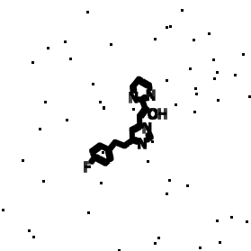 O/C(=C\c1cc(CCc2ccc(F)cc2)ncn1)c1ncccn1